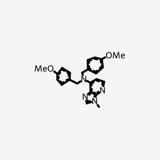 COc1ccc(CN(Cc2ccc(OC)cc2)c2ccnc3c2ncn3C)cc1